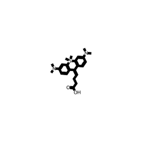 CN(C)c1ccc2c(c1)[Si](C)(C)c1cc(N(C)C)ccc1C2=CCCC(=O)O